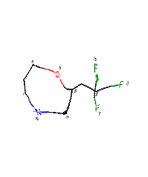 FC(F)(F)C1C[N]CCO1